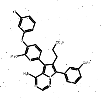 COc1cccc(-c2c(CCC(=O)O)c(-c3ccc(Oc4cccc(Cl)c4)c(OC)c3)c3c(N)ncnn23)c1